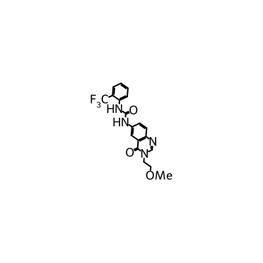 COCCn1cnc2ccc(NC(=O)Nc3ccccc3C(F)(F)F)cc2c1=O